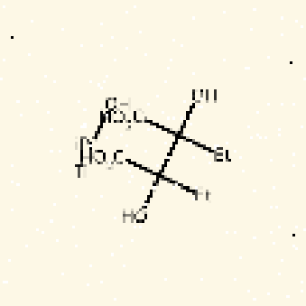 CC(C)O.CCC(O)(C(=O)O)C(O)(CC)C(=O)O.[Ti]